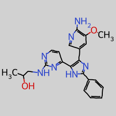 COc1cc(-c2nc(-c3ccccc3)[nH]c2-c2ccnc(NCC(C)O)n2)cnc1N